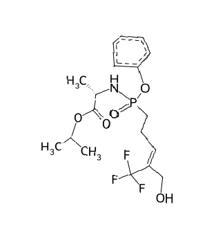 CC(C)OC(=O)[C@H](C)NP(=O)(CC/C=C(/CO)C(F)(F)F)Oc1ccccc1